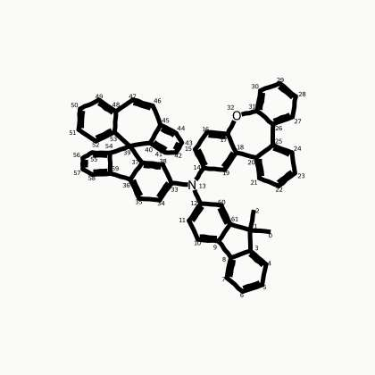 CC1(C)c2ccccc2-c2ccc(N(c3ccc4c(c3)-c3ccccc3-c3ccccc3O4)c3ccc4c(c3)C3(c5ccccc5C=Cc5ccccc53)c3ccccc3-4)cc21